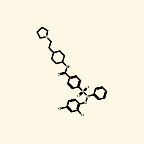 O=C(NC1CCC(CCN2CCCC2)CC1)c1ccc(S(=O)(=O)N(Oc2ccc(Cl)cc2Cl)c2ccccc2)cc1